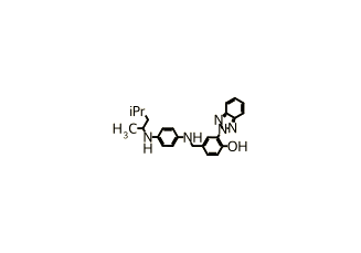 CC(C)CC(C)Nc1ccc(NCc2ccc(O)c(-n3nc4ccccc4n3)c2)cc1